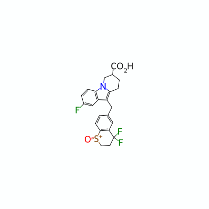 O=C(O)C1CCc2c(Cc3ccc4c(c3)C(F)(F)CC[S+]4[O-])c3cc(F)ccc3n2C1